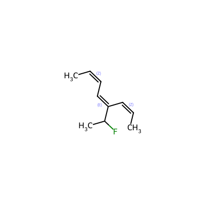 C\C=C/C=C(\C=C/C)C(C)F